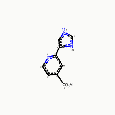 O=C(O)c1ccnc(-c2c[nH]cn2)c1